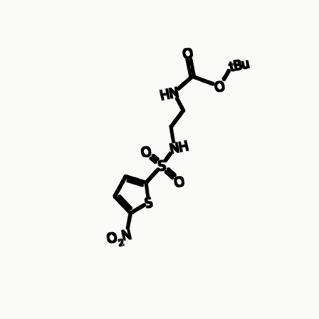 CC(C)(C)OC(=O)NCCNS(=O)(=O)c1ccc([N+](=O)[O-])s1